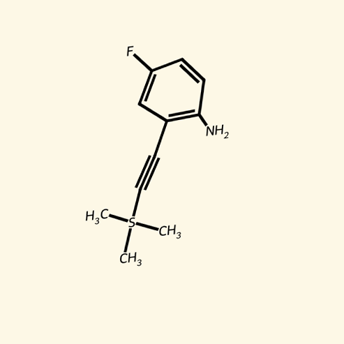 CS(C)(C)C#Cc1cc(F)ccc1N